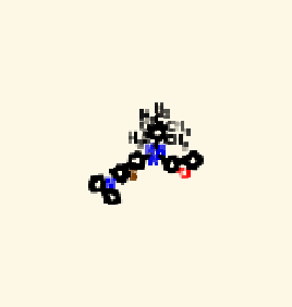 Cc1c(C)c(C)c(-c2nc(-c3ccc4c(c3)sc3cc(-n5c6c(c7c5C=CCC7)CCC=C6)ccc34)nc(-c3ccc4oc5ccccc5c4c3)n2)c(C)c1C